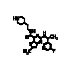 Cc1cc2nc(N[C@@H](C)c3cncc(F)c3)nc(C(=O)NCCC3CCNCC3)c2s1